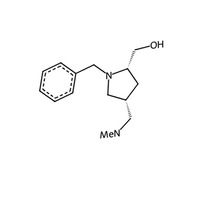 CNC[C@H]1C[C@@H](CO)N(Cc2ccccc2)C1